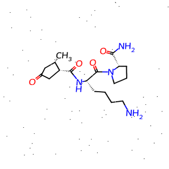 C[C@H]1CC(=O)C[C@H]1C(=O)N[C@@H](CCCCN)C(=O)N1CCC[C@H]1C(N)=O